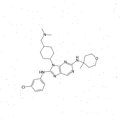 CN(C)CC1CCC(n2c(Nc3cccc(Cl)c3)nc3cnc(NC4(C)CCOCC4)nc32)CC1